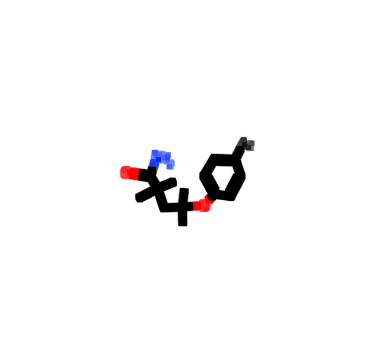 CC(=O)c1ccc(OC(C)(C)CC(C)(C)C(N)=O)cc1